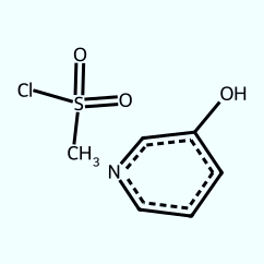 CS(=O)(=O)Cl.Oc1cccnc1